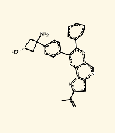 C=C(C)c1cc2ncc3nc(-c4ccccc4)c(-c4ccc([C@]5(N)C[C@H](O)C5)cc4)nc3n2n1